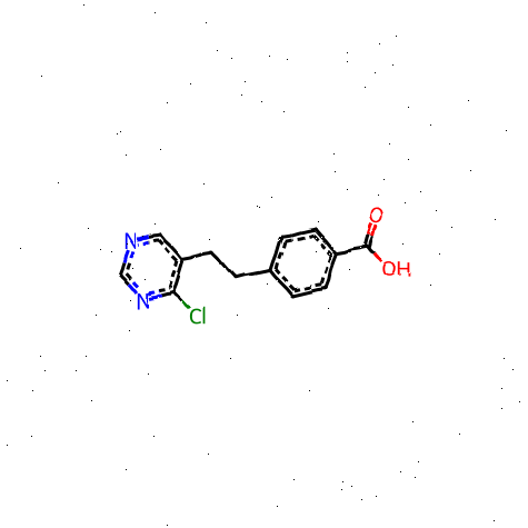 O=C(O)c1ccc(CCc2cncnc2Cl)cc1